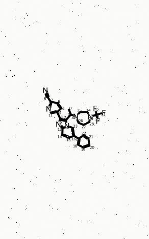 CC(c1c(-c2ccc(C#N)nc2)nc2ccc(-c3ccccc3)cn12)N1CCCN(C(F)(F)F)CC1